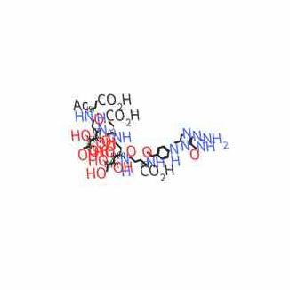 CC(=O)[C@H](CCC(=O)O)NC(=O)C[C@@H](NC(=O)[C@H](CCC(=O)O)NC(=O)C[C@@H](NC(=O)CC[C@H](NC(=O)c1ccc(NCc2cnc3nc(N)[nH]c(=O)c3n2)cc1)C(=O)O)[C@@H](O)[C@H](O)[C@H](O)CO)[C@@H](O)[C@H](O)[C@H](O)CO